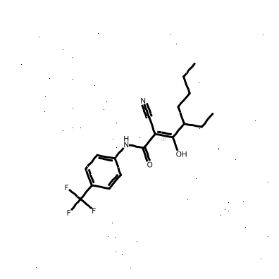 CCCCC(CC)/C(O)=C(\C#N)C(=O)Nc1ccc(C(F)(F)F)cc1